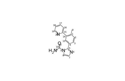 Cc1ccc(-c2nccn2C(N)=O)cc1-c1ccccn1